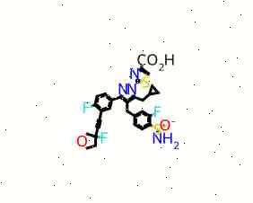 N[S+]([O-])c1ccc(Cc2c(-c3ccc(F)c(C#CC4(F)CCOC4)c3)nn(-c3nc(C(=O)O)cs3)c2CC2CC2)cc1F